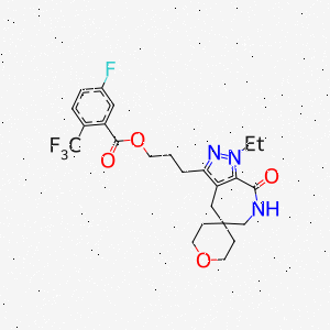 CCn1nc(CCCOC(=O)c2cc(F)ccc2C(F)(F)F)c2c1C(=O)NCC1(CCOCC1)C2